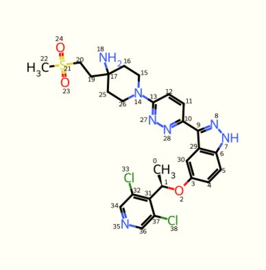 C[C@@H](Oc1ccc2[nH]nc(-c3ccc(N4CCC(N)(CCS(C)(=O)=O)CC4)nn3)c2c1)c1c(Cl)cncc1Cl